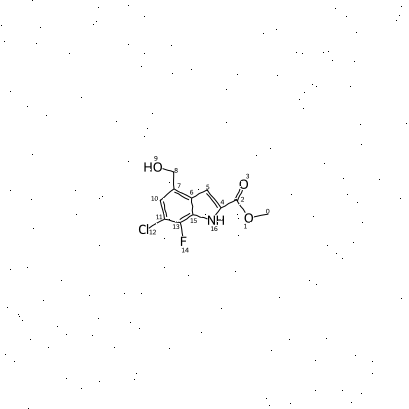 COC(=O)c1cc2c(CO)cc(Cl)c(F)c2[nH]1